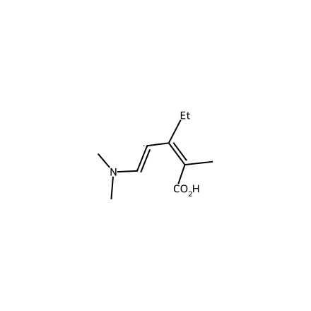 CCC([C]=CN(C)C)=C(C)C(=O)O